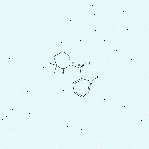 CC1(C)CCC[C@H]([C@@H](O)c2ccccc2Cl)N1